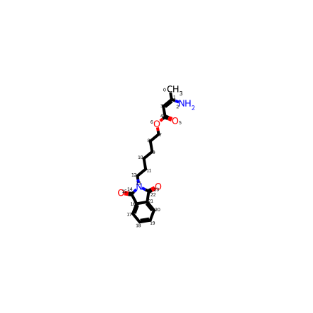 C/C(N)=C/C(=O)OCCCCCCN1C(=O)c2ccccc2C1=O